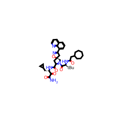 CC(C)(C)[C@H](NC(=O)CC1CCCCCC1)C(=O)N1C[C@@]2(CC(c3cccc4cccnc34)=NO2)CC1C(=O)N[C@@H](CC1CC1)C(=O)C(N)=O